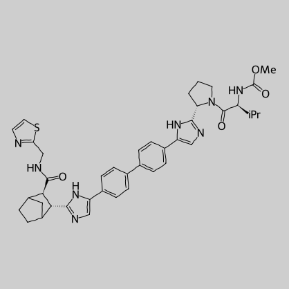 COC(=O)N[C@H](C(=O)N1CCC[C@H]1c1ncc(-c2ccc(-c3ccc(-c4cnc([C@@H]5C6CCC(C6)[C@H]5C(=O)NCc5nccs5)[nH]4)cc3)cc2)[nH]1)C(C)C